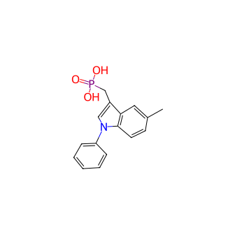 Cc1ccc2c(c1)c(CP(=O)(O)O)cn2-c1ccccc1